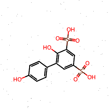 O=S(=O)(O)c1cc(-c2ccc(O)cc2)c(O)c(S(=O)(=O)O)c1